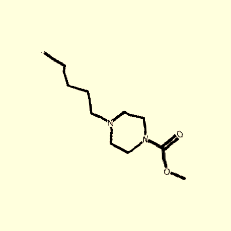 [CH2]CCCCN1CCN(C(=O)OC)CC1